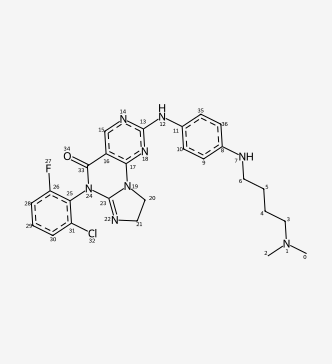 CN(C)CCCCNc1ccc(Nc2ncc3c(n2)N2CCN=C2N(c2c(F)cccc2Cl)C3=O)cc1